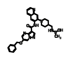 CB(O)NCC1CCN(c2cc3ncccc3cc2NC(=O)c2cnn3cc(OCc4ccccc4)cnc23)CC1